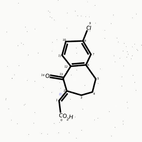 O=C(O)/C=C1\CCCc2cc(Cl)ccc2C1=O